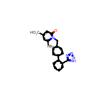 CCCCc1cc(C(=O)O)cc(=O)n1Cc1ccc(-c2ccccc2-c2nnn[nH]2)cc1